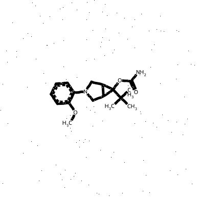 COc1ccccc1N1CC2C(C1)C2(OC(N)=O)C(C)(C)C